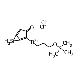 C[Si](C)(C)OCC[CH2][Ti+2][C]1=C2[SiH2]C2=CC1=O.[Cl-].[Cl-]